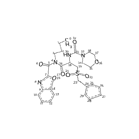 CCCCN(C(=O)c1nc2ccccc2o1)C(=O)C(CS(=O)(=O)Cc1ccccc1)NC(=O)N1CCOCC1